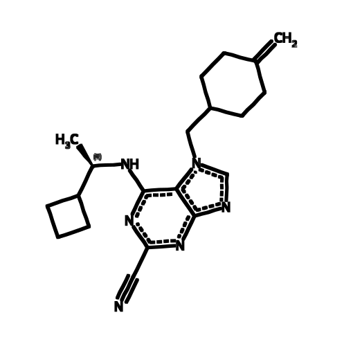 C=C1CCC(Cn2cnc3nc(C#N)nc(N[C@H](C)C4CCC4)c32)CC1